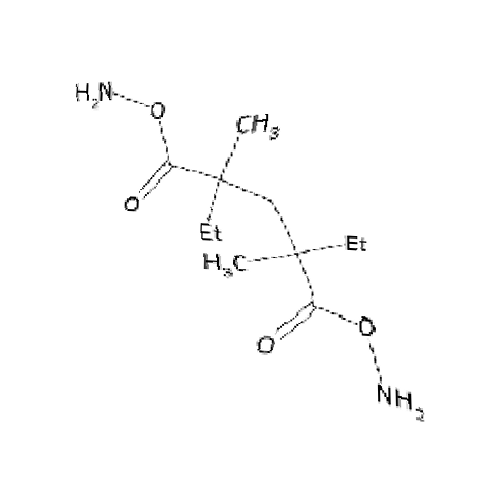 CCC(C)(CC(C)(CC)C(=O)ON)C(=O)ON